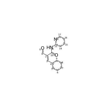 O=[C]C(=Cc1ccccc1)C(=O)Nc1ccccn1